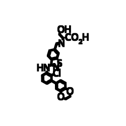 O=C(O)[C@@H](CO)N=Cc1ccc2c(Nc3cccc(-c4ccc5c(c4)OCCO5)c3Cl)nsc2c1